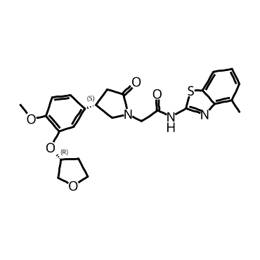 COc1ccc([C@@H]2CC(=O)N(CC(=O)Nc3nc4c(C)cccc4s3)C2)cc1O[C@@H]1CCOC1